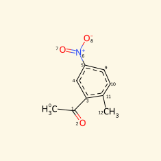 CC(=O)c1cc([N+](=O)[O-])ccc1C